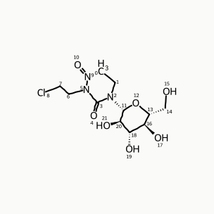 CCN(C(=O)N(CCCl)N=O)[C@@H]1O[C@H](CO)[C@@H](O)[C@H](O)[C@H]1O